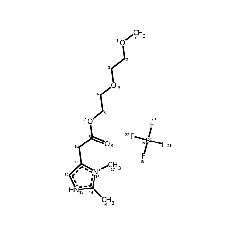 COCCOCCOC(=O)Cc1c[nH]c(C)[n+]1C.F[B-](F)(F)F